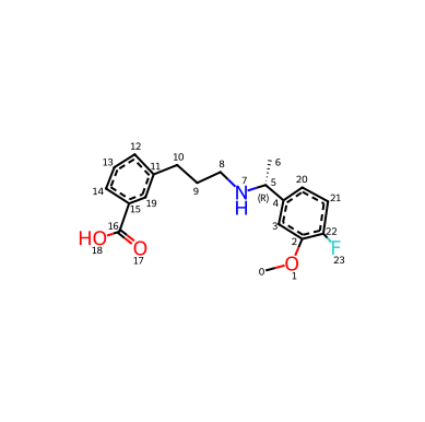 COc1cc([C@@H](C)NCCCc2cccc(C(=O)O)c2)ccc1F